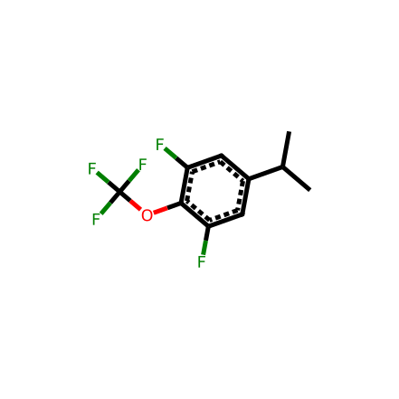 CC(C)c1cc(F)c(OC(F)(F)F)c(F)c1